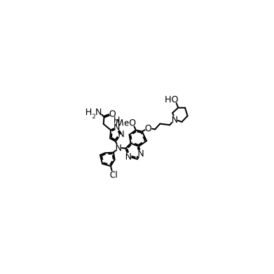 COc1cc2c(N(c3cccc(Cl)c3)c3cc(CC(N)=O)[nH]n3)ncnc2cc1OCCCN1CCCC(O)C1